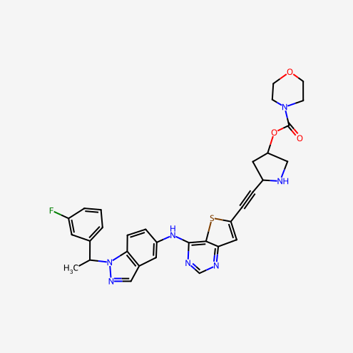 CC(c1cccc(F)c1)n1ncc2cc(Nc3ncnc4cc(C#CC5CC(OC(=O)N6CCOCC6)CN5)sc34)ccc21